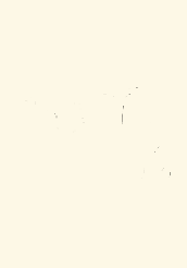 CC[C@@H]1Cc2cc(O)ccc2C2CC[C@@]3(C)C(CC[C@@H]3O)C21